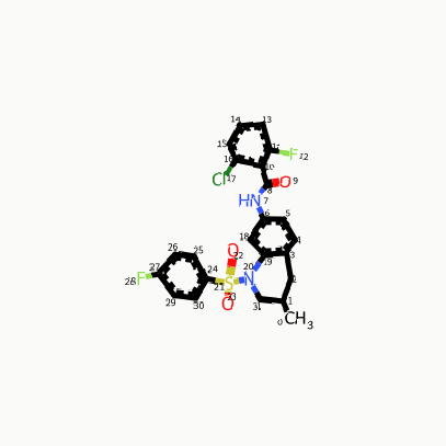 CC1Cc2ccc(NC(=O)c3c(F)cccc3Cl)cc2N(S(=O)(=O)c2ccc(F)cc2)C1